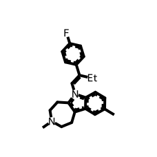 CC/C(=C\n1c2c(c3cc(C)ccc31)CCN(C)CC2)c1ccc(F)cc1